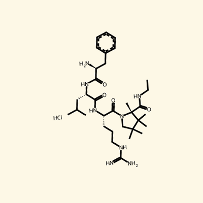 CCNC(=O)[C@@]1(C)N(C(=O)[C@H](CCCNC(=N)N)NC(=O)[C@H](CC(C)C)NC(=O)[C@@H](N)Cc2ccccc2)CC(C)(C)C1(C)C.Cl